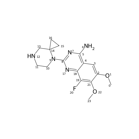 COc1cc2c(N)nc(N3CCNCC34CC4)nc2c(F)c1OC